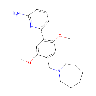 COc1cc(-c2cccc(N)n2)c(OC)cc1CN1CCCCCC1